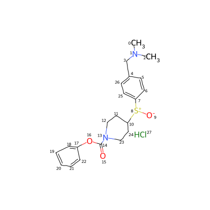 CN(C)Cc1ccc([S+]([O-])C2CCN(C(=O)Oc3ccccc3)CC2)cc1.Cl